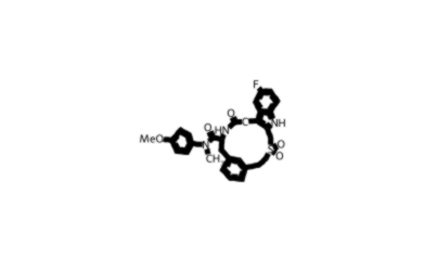 COc1ccc(N(C)C(=O)C2Cc3cccc(c3)CCS(=O)(=O)Cc3[nH]c4ccc(F)cc4c3CC(=O)N2)cc1